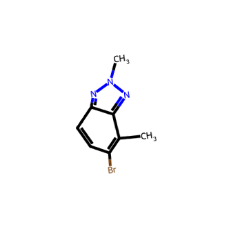 Cc1c(Br)ccc2nn(C)nc12